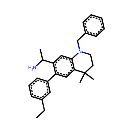 CCc1cccc(-c2cc3c(cc2C(C)N)N(Cc2ccccc2)CCC3(C)C)c1